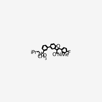 CNC(=O)c1c(-c2ccc(F)cc2)oc2ccc(-c3cccc(C(=O)N(C)CC(C)C)c3)cc12